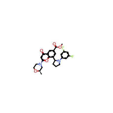 COC(=O)c1cc(C2CCCN2c2cc(F)cc(F)c2)c2oc(N3CCO[C@H](C)C3)cc(=O)c2c1